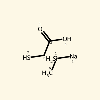 C[SiH2][Na].O=C(O)CS